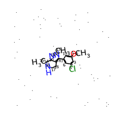 COc1cc(Cl)cc(-c2c3c(nn2C)[C@H](C)NCC3)c1